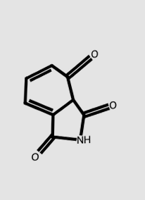 O=C1NC(=O)C2C(=O)C=CC=C12